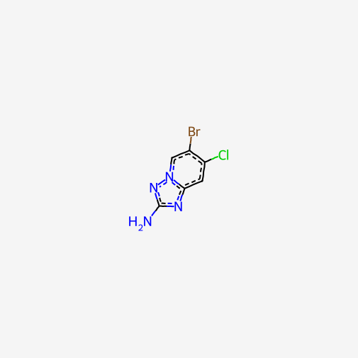 Nc1nc2cc(Cl)c(Br)cn2n1